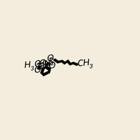 CCCCCCCCCS(=O)(=O)Nc1ccccc1S(C)(=O)=O